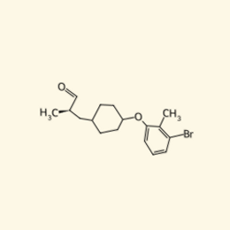 Cc1c(Br)cccc1OC1CCC(C[C@@H](C)C=O)CC1